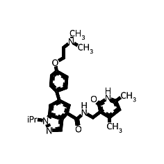 Cc1cc(C)c(CNC(=O)c2cc(-c3ccc(OCCN(C)C)cc3)cc3c2cnn3C(C)C)c(=O)[nH]1